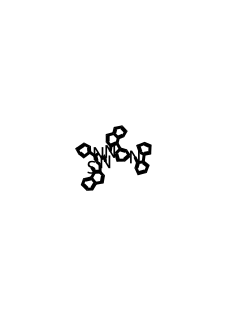 c1ccc(-c2nc(-n3c4ccc(-n5c6ccccc6c6ccccc65)cc4c4c5ccccc5ccc43)nc3c2sc2c4ccccc4ccc32)cc1